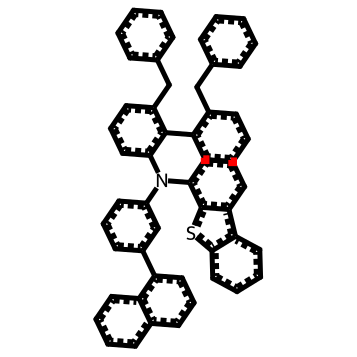 c1ccc(Cc2ccccc2-c2c(Cc3ccccc3)cccc2N(c2cccc(-c3cccc4ccccc34)c2)c2cccc3c2sc2ccccc23)cc1